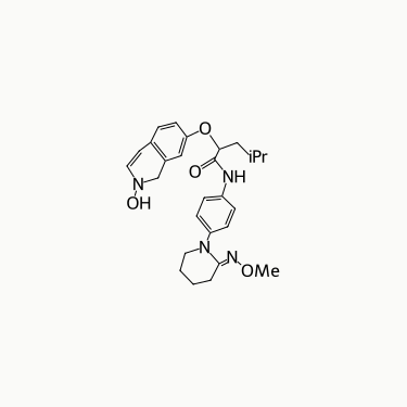 CON=C1CCCCN1c1ccc(NC(=O)C(CC(C)C)Oc2ccc3c(c2)CN(O)C=C3)cc1